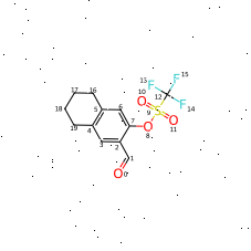 O=Cc1cc2c(cc1OS(=O)(=O)C(F)(F)F)CCCC2